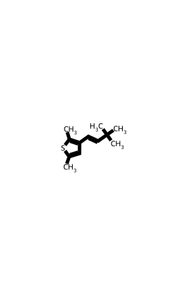 Cc1cc(/C=C/C(C)(C)C)c(C)s1